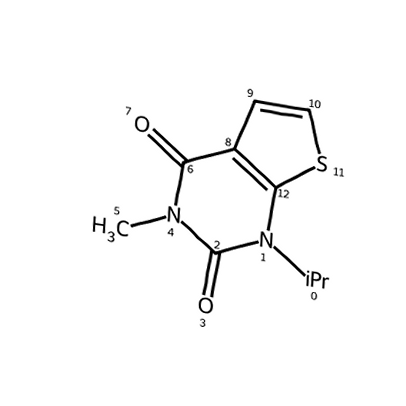 CC(C)n1c(=O)n(C)c(=O)c2ccsc21